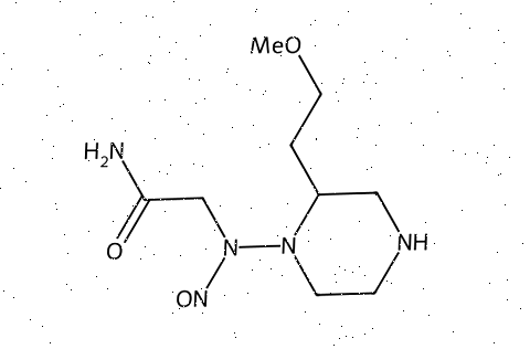 COCCC1CNCCN1N(CC(N)=O)N=O